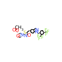 CC(=O)OC[C@@H]1CN(C2=NC(=O)/C(=C\c3ccc4c(cnn4Cc4ccc(C(F)(F)F)cc4C(F)(F)F)c3)S2)CCO1